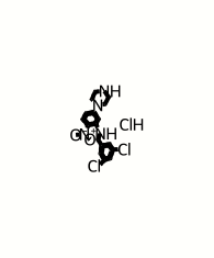 Cl.O=[N+]([O-])c1ccc(N2CCNCC2)cc1NCc1cc(Cl)cc(Cl)c1